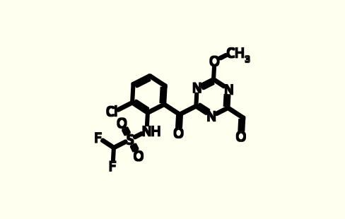 COc1nc(C=O)nc(C(=O)c2cccc(Cl)c2NS(=O)(=O)C(F)F)n1